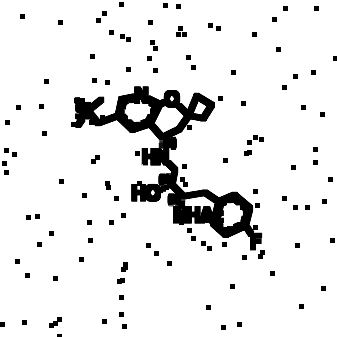 CC(=O)N[C@@H](Cc1ccc(F)cc1)[C@H](O)CN[C@H]1CC2(CCC2)Oc2ncc(C[Si](C)(C)C)cc21